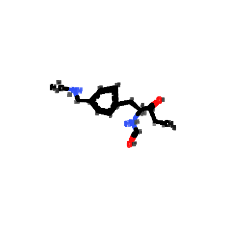 CCC(=O)[C@H](Cc1ccc(CNC)cc1)NC=O